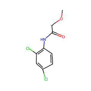 CO[CH]C(=O)Nc1ccc(Cl)cc1Cl